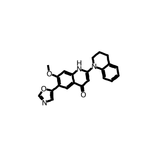 COc1cc2[nH]c(N3CCCc4ccccc43)cc(=O)c2cc1-c1cnco1